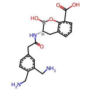 NCc1ccc(CC(=O)N[C@H]2Cc3cccc(C(=O)O)c3OB2O)cc1CN